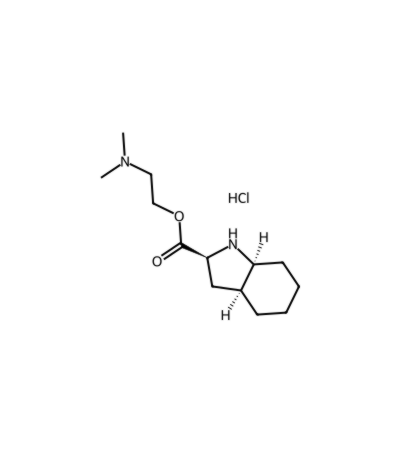 CN(C)CCOC(=O)[C@@H]1C[C@@H]2CCCC[C@@H]2N1.Cl